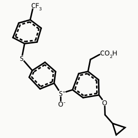 O=C(O)Cc1cc(OCC2CC2)cc([S+]([O-])c2ccc(Sc3ccc(C(F)(F)F)cc3)cc2)c1